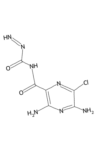 N=NC(=O)NC(=O)c1nc(Cl)c(N)nc1N